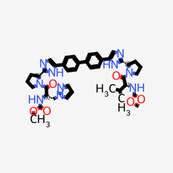 COC(=O)N[C@@H](Cn1cccn1)C(=O)N1CCC[C@H]1c1ncc(-c2ccc(-c3ccc(-c4cnc([C@@H]5CCCN5C(=O)[C@@H](NC5OCO5)C(C)C)[nH]4)cc3)cc2)[nH]1